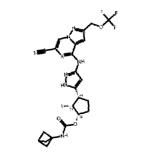 N#Cc1cn2nc(COC(F)(F)F)cc2c(Nc2cc([C@@H]3CC[C@H](OC(=O)NC45CC(C4)C5)[C@@H]3F)[nH]n2)n1